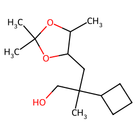 CC1OC(C)(C)OC1CC(C)(CO)C1CCC1